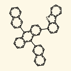 c1ccc2cc(-c3c4ccccc4c(-c4ccc5ccccc5c4)c4cc(-c5cccc6c5sc5ccccc56)ccc34)ccc2c1